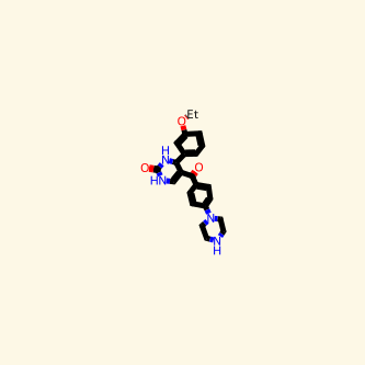 CCOc1cccc(C2NC(=O)NC=C2C(=O)c2ccc(N3CCNCC3)cc2)c1